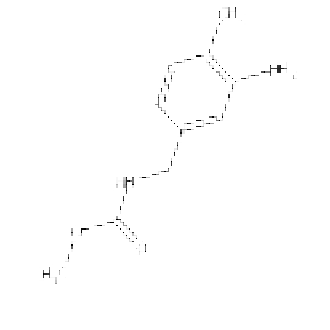 COC(=O)NCc1ccc(C)c(N)c1